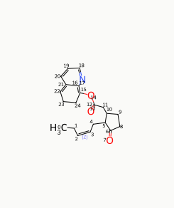 CC/C=C\CC1C(=O)CCC1CC(=O)OC1=c2ncccc2=CCC1